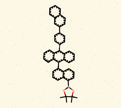 CC1(C)OB(c2cccc3c(-c4c5ccccc5c(-c5ccc(-c6ccc7ccccc7c6)cc5)c5ccccc45)cccc23)OC1(C)C